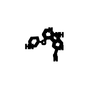 N#Cc1cc2c(cn1)[nH]c1nccc(O[C@H]3CCCNC3)c12